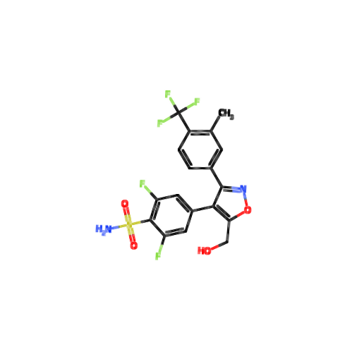 Cc1cc(-c2noc(CO)c2-c2cc(F)c(S(N)(=O)=O)c(F)c2)ccc1C(F)(F)F